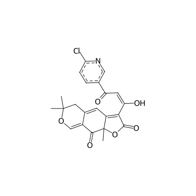 CC1(C)CC2=CC3=C(/C(O)=C\C(=O)c4ccc(Cl)nc4)C(=O)OC3(C)C(=O)C2=CO1